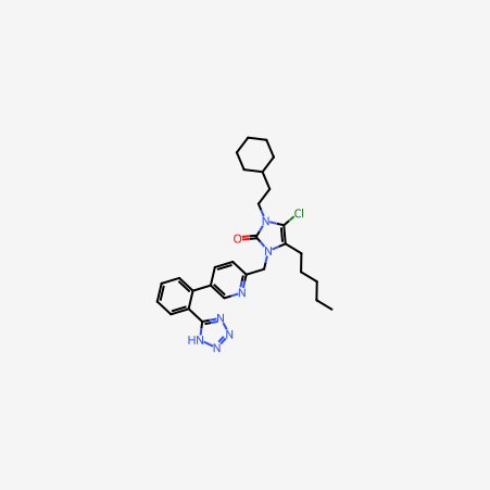 CCCCCc1c(Cl)n(CCC2CCCCC2)c(=O)n1Cc1ccc(-c2ccccc2-c2nnn[nH]2)cn1